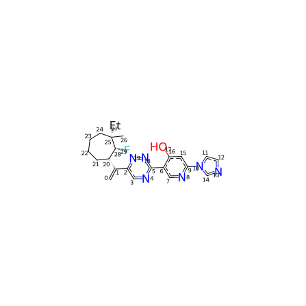 C=C(c1cnc(-c2cnc(-n3ccnc3)cc2O)nn1)[C@@H]1CCCC[C@](C)(CC)[C@H]1F